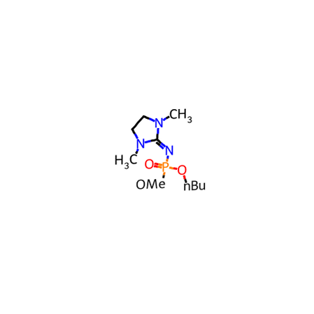 CCCCOP(=O)(N=C1N(C)CCN1C)OC